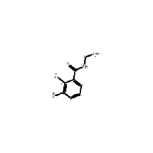 O=CCNC(=O)c1cccc(Cl)c1Cl